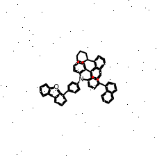 c1ccc(N(c2ccc(-c3cccc4ccccc34)cc2)c2ccc(-c3cccc4c3oc3ccccc34)cc2)c(-c2cccc3cccc(C4CCCCC4)c23)c1